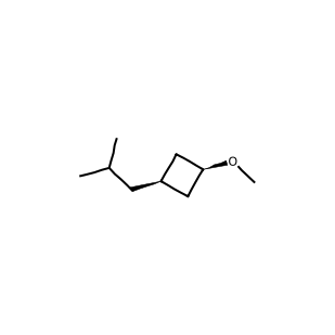 CO[C@H]1C[C@@H](CC(C)C)C1